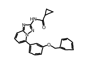 O=C(Nc1nc2cccc(-c3cccc(OCc4ccccc4)c3)n2n1)C1CC1